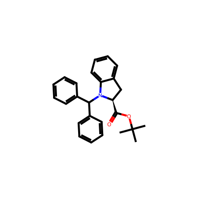 CC(C)(C)OC(=O)[C@@H]1Cc2ccccc2N1C(c1ccccc1)c1ccccc1